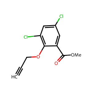 C#CCOc1c(Cl)cc(Cl)cc1C(=O)OC